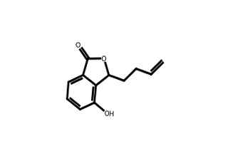 C=CCCC1OC(=O)c2cccc(O)c21